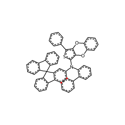 c1ccc(-c2ccccc2N(c2ccc3c(c2)C2(c4ccccc4-c4ccccc42)c2ccccc2-3)c2sc(-c3ccccc3)c3c2Oc2ccccc2O3)cc1